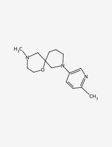 Cc1ccc(N2CCCC3(CN(C)CCO3)C2)cn1